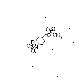 CCS(=O)(CC)=NC1CCC(COS(C)(=O)=O)CC1